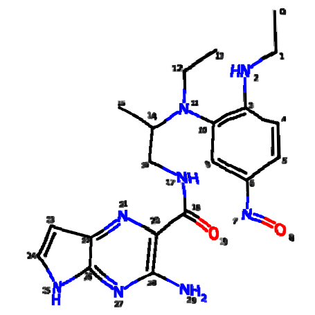 CCNc1ccc(N=O)cc1N(CC)C(C)CNC(=O)c1nc2cc[nH]c2nc1N